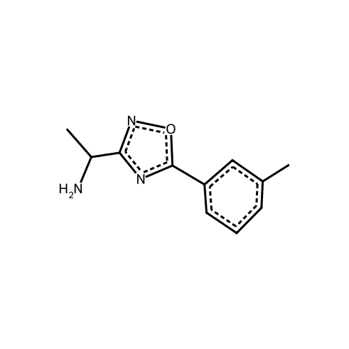 Cc1cccc(-c2nc(C(C)N)no2)c1